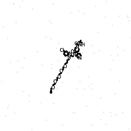 C#CCOCCOCCOCCOCCOCCCCn1c(CN2C(=O)C3(CCN(C(=O)NC(C)(C)C)CC3)c3ccncc32)nc2cc(Cl)ccc21